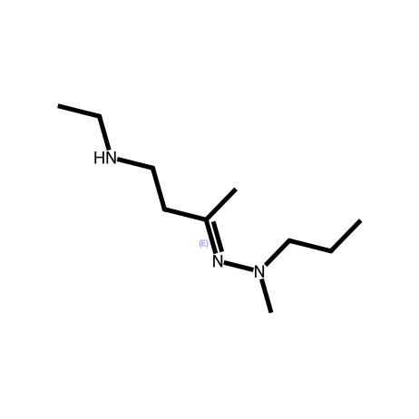 CCCN(C)/N=C(\C)CCNCC